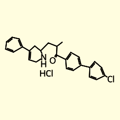 CC(CC1CC(c2ccccc2)=CCN1)C(=O)c1ccc(-c2ccc(Cl)cc2)cc1.Cl